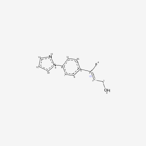 OC/C=C(\F)c1ccc(-n2cccn2)cc1